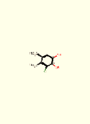 O=C(O)C1=C[C@@H](O)[C@@H](O)C(Cl)=C1C(=O)O